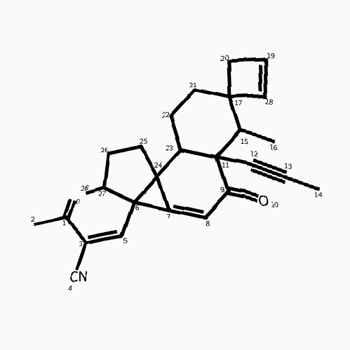 C=C(C)/C(C#N)=C\C12C3=CC(=O)C4(C#CC)C(C)C5(C=CC5)CCC4C31CCC2C